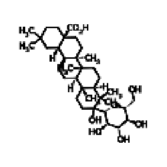 CC1(C)CC[C@]2(C(=O)O)CC[C@]3(C)C(=CC[C@@H]4[C@@]5(C)CC[C@@](O)([C@@H]6O[C@H](CO)[C@@H](O)[C@H](O)[C@H]6O)C(C)(C)[C@@H]5CC[C@]43C)[C@@H]2C1